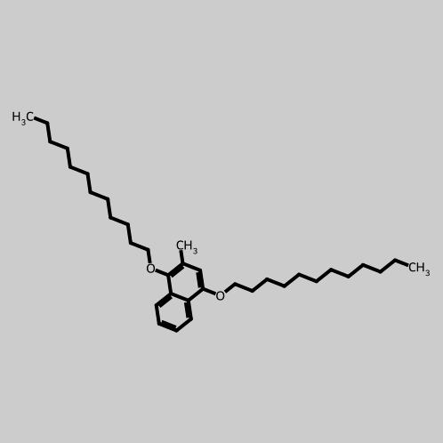 CCCCCCCCCCCCOc1cc(C)c(OCCCCCCCCCCCC)c2ccccc12